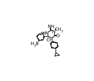 Bc1ccnc([C@@]2(C)NC(=N)N(C)C(=O)[C@@H]2c2ccc(C3CC3)cc2)c1